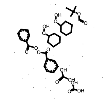 CC(C)(C)OC=O.O=C(O)O.O=C(O)O.O=C(OOC(=O)c1ccccc1)c1ccccc1.OOC1CCCCC1.OOC1CCCCC1